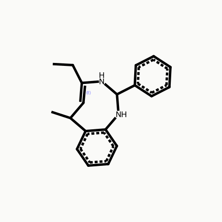 CC/C1=C\C(C)c2ccccc2NC(c2ccccc2)N1